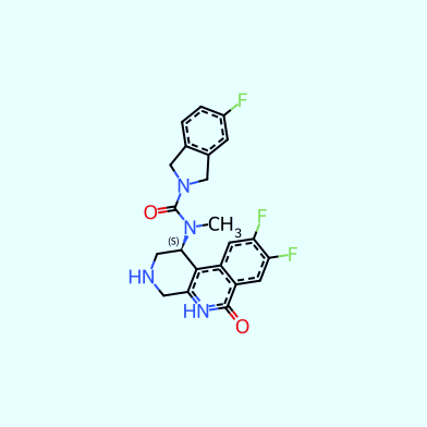 CN(C(=O)N1Cc2ccc(F)cc2C1)[C@@H]1CNCc2[nH]c(=O)c3cc(F)c(F)cc3c21